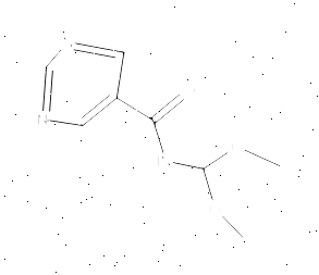 COC(NC(=O)c1cncnc1)OC